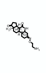 C[C@]12CCC(=NOCCN)CC1NC(=O)[C@@H]1[C@@H]2CC[C@]2(C)C(=O)CC[C@@H]12